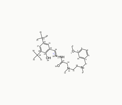 COc1cccc(CN(C)CCN(C)CC(=O)N/N=C/c2cc(C(C)(C)C)cc(C(C)(C)C)c2O)c1